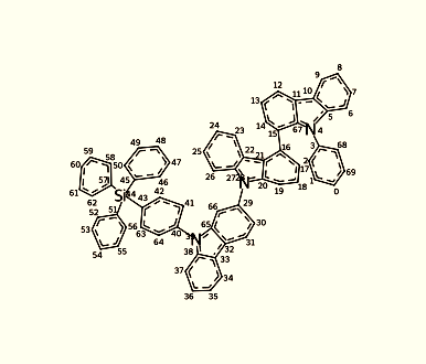 c1ccc(-n2c3ccccc3c3cccc(-c4cccc5c4c4ccccc4n5-c4ccc5c6ccccc6n(-c6ccc([Si](c7ccccc7)(c7ccccc7)c7ccccc7)cc6)c5c4)c32)cc1